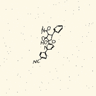 CN(C)C(=O)C1C(=O)C2(O)c3nc(-c4ccc(C#N)cc4)ccc3OC2C1c1ccccc1